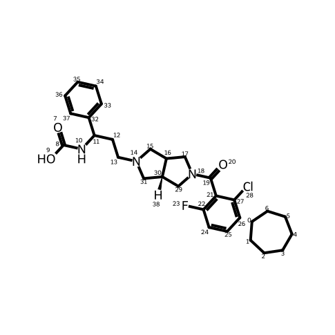 C1CCCCCC1.O=C(O)NC(CCN1CC2CN(C(=O)c3c(F)cccc3Cl)C[C@@H]2C1)c1ccccc1